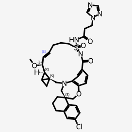 CO[C@H]1/C=C/CCC[S@@](=O)(NC(=O)CCn2cncn2)=NC(=O)c2ccc3c(c2)N(C[C@@]2(CCCc4cc(Cl)ccc42)CO3)C[C@@]23CC2[C@@H]13